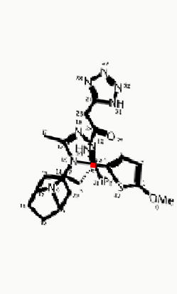 COc1ccc([C@H](CCN2C3CCC2CC(n2c(C)nnc2C(C)C)C3)NC(=O)Cc2nnn[nH]2)s1